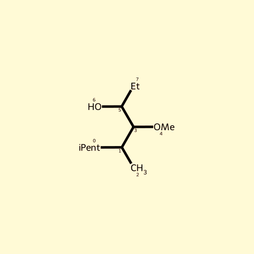 CCCC(C)C(C)C(OC)C(O)CC